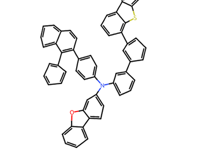 c1ccc(-c2c(-c3ccc(N(c4cccc(-c5cccc(-c6cccc7c6sc6ccccc67)c5)c4)c4ccc5c(c4)oc4ccccc45)cc3)ccc3ccccc23)cc1